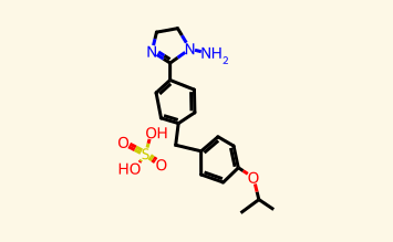 CC(C)Oc1ccc(Cc2ccc(C3=NCCN3N)cc2)cc1.O=S(=O)(O)O